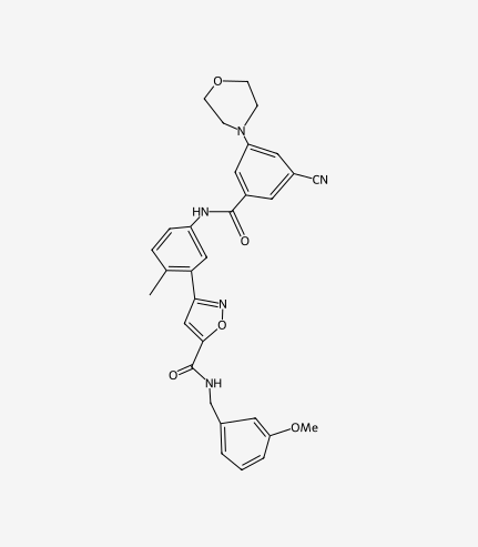 COc1cccc(CNC(=O)c2cc(-c3cc(NC(=O)c4cc(C#N)cc(N5CCOCC5)c4)ccc3C)no2)c1